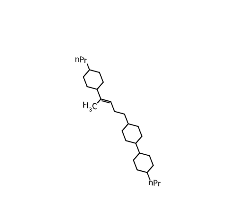 CCCC1CCC(C(C)=CCCC2CCC(C3CCC(CCC)CC3)CC2)CC1